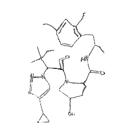 Cc1ccc(CC(C)NC(=O)C2CC(O)CN2C(=O)C(n2cc(C3CC3)nn2)C(C)(C)C)c(F)c1